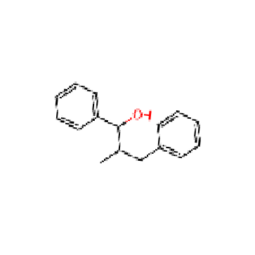 CC(Cc1ccccc1)C(O)c1ccccc1